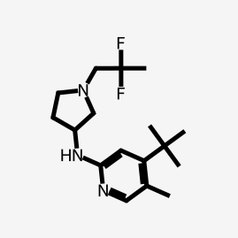 Cc1cnc(NC2CCN(CC(C)(F)F)C2)cc1C(C)(C)C